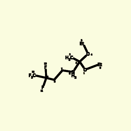 CCOC(C)(OCC)[SiH2]CCC(F)(F)C(F)(F)F